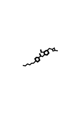 C=Cc1cc(CC2CC(C)C2)ccc1CC(=C)c1ccc(CCCCCC)cc1